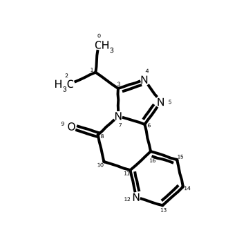 CC(C)c1nnc2n1C(=O)Cc1ncccc1-2